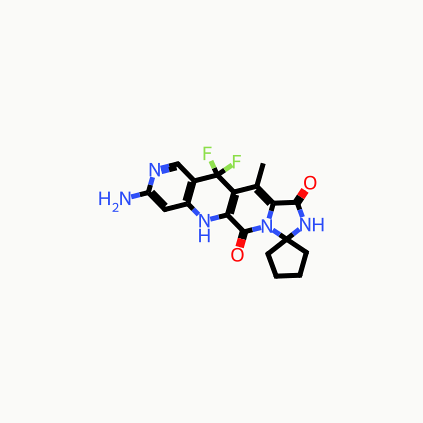 Cc1c2c(c(=O)n3c1C(=O)NC31CCCC1)Nc1cc(N)ncc1C2(F)F